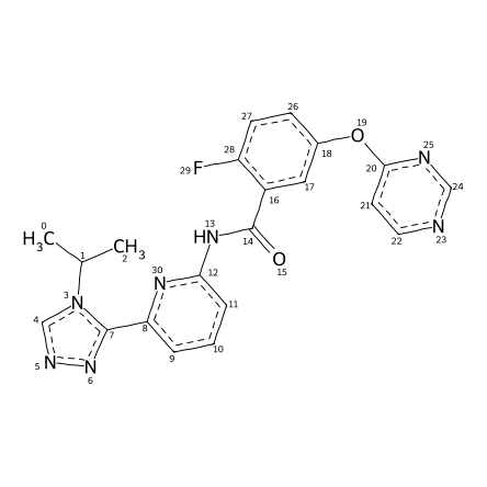 CC(C)n1cnnc1-c1cccc(NC(=O)c2cc(Oc3ccncn3)ccc2F)n1